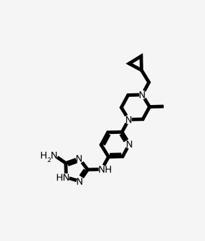 CC1CN(c2ccc(Nc3n[nH]c(N)n3)cn2)CCN1CC1CC1